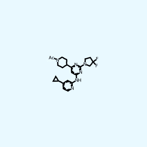 CC(=O)N1CCC(c2cc(Nc3cc(C4CC4)ccn3)nc(N3CCC(F)(F)C3)n2)CC1